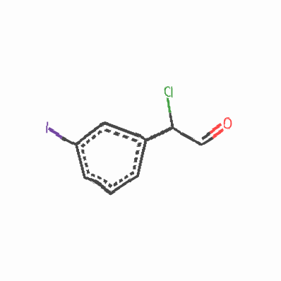 O=CC(Cl)c1cccc(I)c1